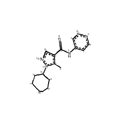 Cc1c(C(=O)Nc2ccnnc2)cnn1C1CCCCC1